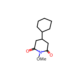 CON1C(=O)CC(C2CCCCC2)CC1=O